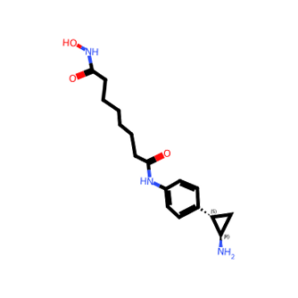 N[C@@H]1C[C@H]1c1ccc(NC(=O)CCCCCCC(=O)NO)cc1